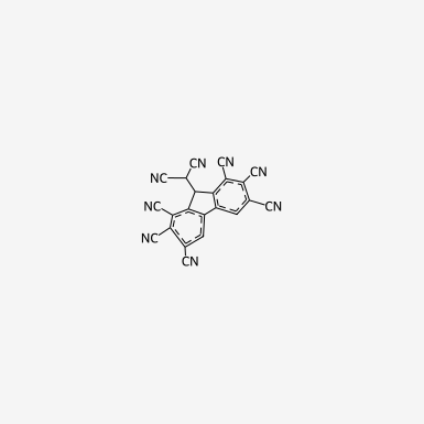 N#Cc1cc2c(c(C#N)c1C#N)C(C(C#N)C#N)c1c-2cc(C#N)c(C#N)c1C#N